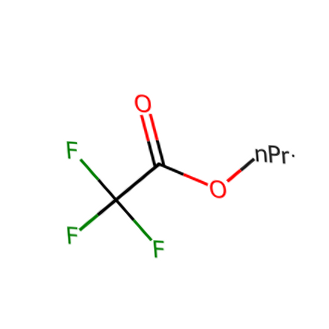 CC[CH]OC(=O)C(F)(F)F